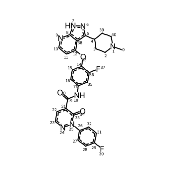 CN1CCC(c2n[nH]c3nccc(Oc4ccc(NC(=O)c5ccnn(-c6ccc(F)cc6)c5=O)cc4F)c23)CC1